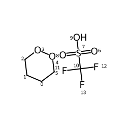 C1CCOOC1.O=S(=O)(O)C(F)(F)F